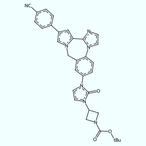 CC(C)(C)OC(=O)N1CC(n2ccn(-c3ccc4c(c3)Cn3cc(-c5ccc(C#N)cc5)cc3-c3nccn3-4)c2=O)C1